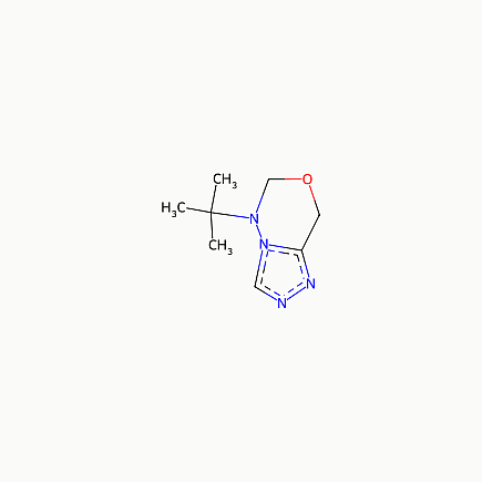 CC(C)(C)N1COCc2nncn21